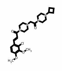 COc1ccc(C=CC(=O)N2CCN(CC(=O)N3CCN(C4CCC4)CC3)CC2)c(Cl)c1OC